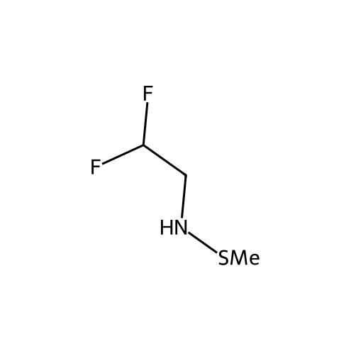 CSNCC(F)F